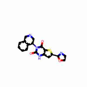 O=c1[nH]c2cc(-c3ncco3)sc2c(=O)n1-c1cncc2ccccc12